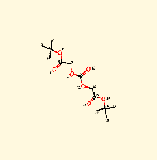 CC(C)(C)OC(=O)COC(=O)OCC(=O)OC(C)(C)C